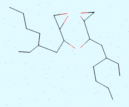 CCCCC(CC)CC(OC(CC(CC)CCCC)C1CO1)C1CO1